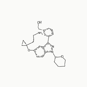 NCCC1(Oc2ccc3c(c2)c(-c2cccc(CO)c2)nn3C2CCCCO2)CC1